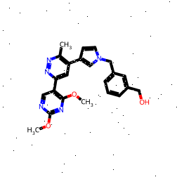 COc1ncc(-c2cc(-c3ccn(Cc4cccc(CO)c4)c3)c(C)nn2)c(OC)n1